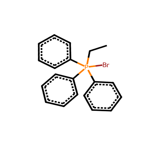 CCP(Br)(c1ccccc1)(c1ccccc1)c1ccccc1